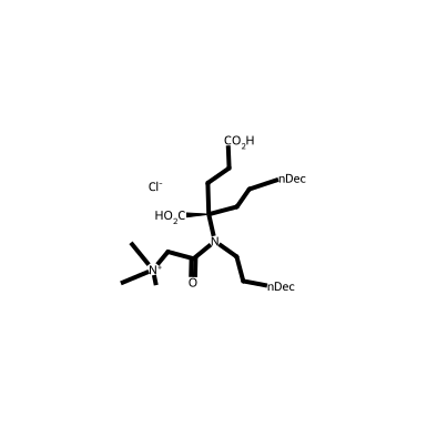 CCCCCCCCCCCCN(C(=O)C[N+](C)(C)C)[C@@](CCCCCCCCCCCC)(CCC(=O)O)C(=O)O.[Cl-]